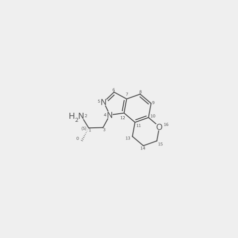 C[C@H](N)Cn1ncc2ccc3c(c21)CCCO3